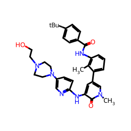 Cc1c(NC(=O)c2ccc(C(C)(C)C)cc2)cccc1-c1cc(Nc2ccc(N3CCN(CCO)CC3)cn2)c(=O)n(C)c1